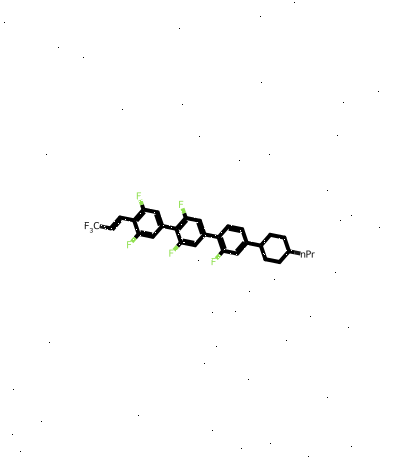 CCCC1CCC(c2ccc(-c3cc(F)c(-c4cc(F)c(/C=C/C(F)(F)F)c(F)c4)c(F)c3)c(F)c2)CC1